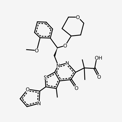 COc1ccccc1[C@H](Cn1nc(C(C)(C)C(=O)O)c(=O)c2c(C)c(-c3ncco3)sc21)OC1CCOCC1